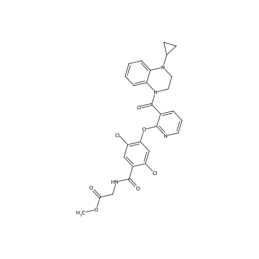 COC(=O)CNC(=O)c1cc(Cl)c(Oc2ncccc2C(=O)N2CCN(C3CC3)c3ccccc32)cc1Cl